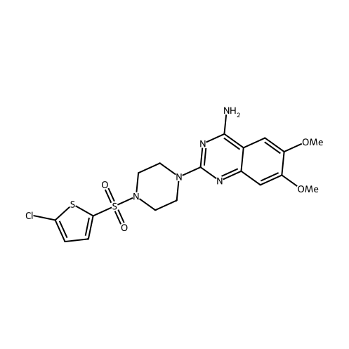 COc1cc2nc(N3CCN(S(=O)(=O)c4ccc(Cl)s4)CC3)nc(N)c2cc1OC